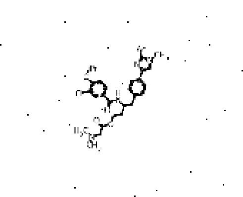 CC(=O)c1nc(-c2ccc(CC(CCOC(=O)CN(C)C)NC(=O)c3ccc(OC(C)C)c(Cl)c3)cc2)cn1C